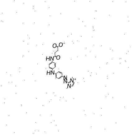 Cn1cc[n+](C)c1N=Nc1ccc(Nc2ccc(NC(=O)CCC(=O)[O-])cc2)cc1